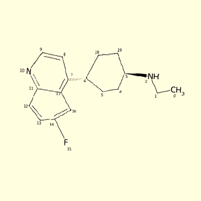 CCN[C@H]1CC[C@H](c2ccnc3ccc(F)cc32)CC1